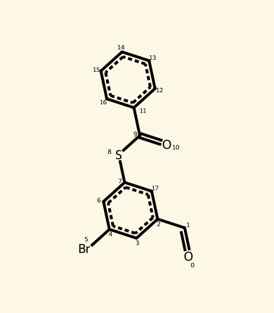 O=Cc1cc(Br)cc(SC(=O)c2ccccc2)c1